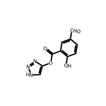 O=Cc1ccc(O)c(C(=O)Oc2c[nH]nn2)c1